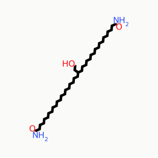 NC(=O)CCCCCCCCCCCCCCCCCCCC(CCO)CCCCCCCCCCCCCCCCC(N)=O